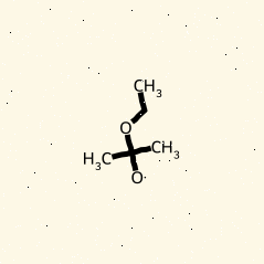 CCOC(C)(C)[O]